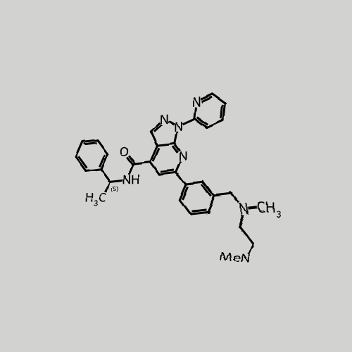 CNCCN(C)Cc1cccc(-c2cc(C(=O)N[C@@H](C)c3ccccc3)c3cnn(-c4ccccn4)c3n2)c1